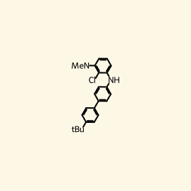 CNc1cccc(Nc2ccc(-c3ccc(C(C)(C)C)cc3)cc2)c1Cl